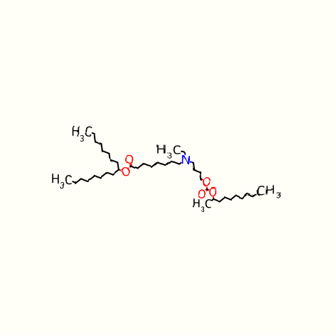 CCCCCCCCC(C)OC(=O)OCCCCN(CC)CCCCCCCC(=O)OC(CCCCCCCC)CCCCCCCC